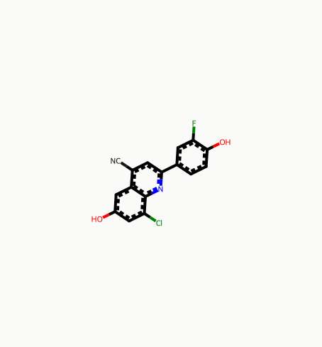 N#Cc1cc(-c2ccc(O)c(F)c2)nc2c(Cl)cc(O)cc12